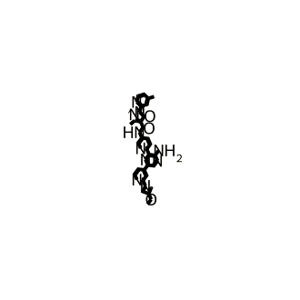 COC1CN(c2cc(-c3cnc(N)c(-c4ccc(NC(=O)c5c(C)n(C)n(-c6cc(C)ccn6)c5=O)cn4)n3)ccn2)C1